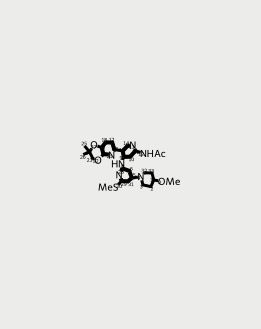 COC1CCN(c2cc(Nc3cc(NC(C)=O)ncc3-c3ccc4c(n3)OCC(C)(C)O4)nc(SC)c2)CC1